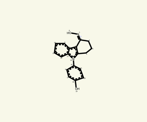 O/N=C1/CCCc2c1c1ccccc1n2-c1ccc(O)cc1